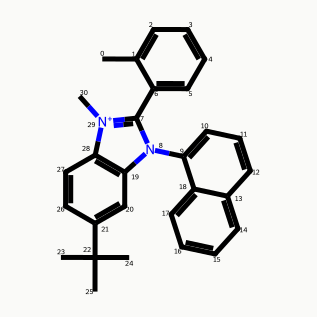 Cc1ccccc1-c1n(-c2cccc3ccccc23)c2cc(C(C)(C)C)ccc2[n+]1C